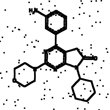 Nc1cccc(-c2nc(N3CCOCC3)nc3c2CC(=O)N3C2CCCCC2)c1